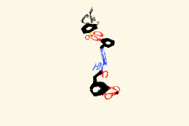 O=C(Cc1ccc2c(c1)OCO2)N/N=C/c1ccccc1OS(=O)(=O)c1ccc(C(F)(F)F)cc1